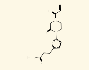 C=CC(=O)N1CCN(c2ccc(CCC(N)=O)o2)C(=O)C1